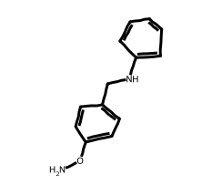 NOc1ccc(CNc2ccccc2)cc1